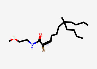 CCCCC(C)(CCCC)CCC/C=C(/Br)C(=O)NCCOC